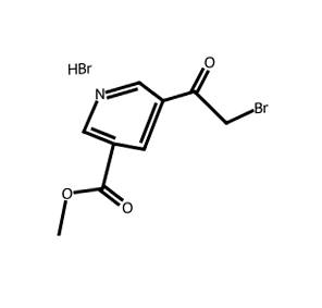 Br.COC(=O)c1cncc(C(=O)CBr)c1